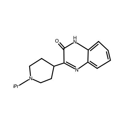 CC(C)N1CCC(c2nc3ccccc3[nH]c2=O)CC1